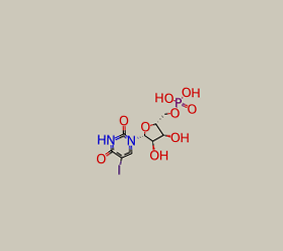 O=c1[nH]c(=O)n([C@@H]2O[C@H](COP(=O)(O)O)[C@@H](O)[C@H]2O)cc1I